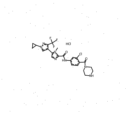 Cl.Cn1c(-c2cn(C3CC3)nc2C(F)(F)F)cnc1C(=O)Nc1ccc(C(=O)N2CCNCC2)c(Cl)c1